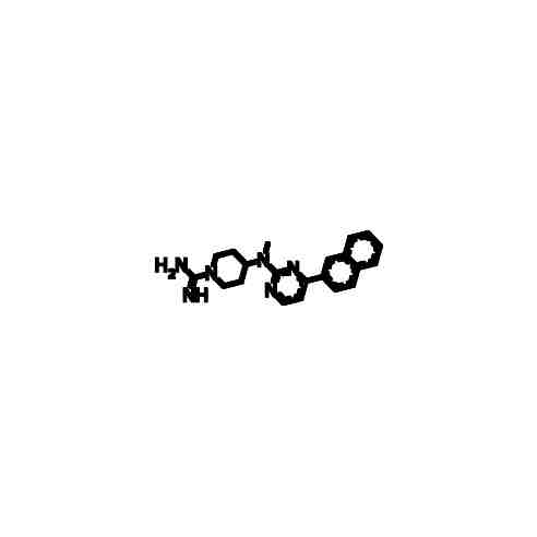 CN(c1nccc(-c2ccc3ccccc3c2)n1)C1CCN(C(=N)N)CC1